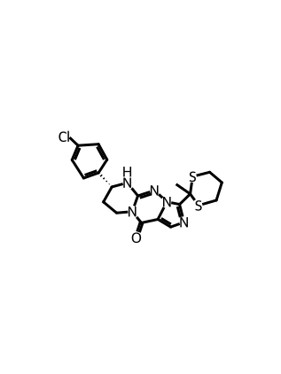 CC1(c2ncc3c(=O)n4c(nn23)N[C@@H](c2ccc(Cl)cc2)CC4)SCCCS1